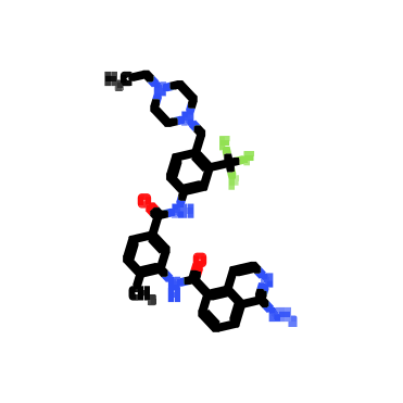 CCN1CCN(Cc2ccc(NC(=O)c3ccc(C)c(NC(=O)c4cccc5c(N)nccc45)c3)cc2C(F)(F)F)CC1